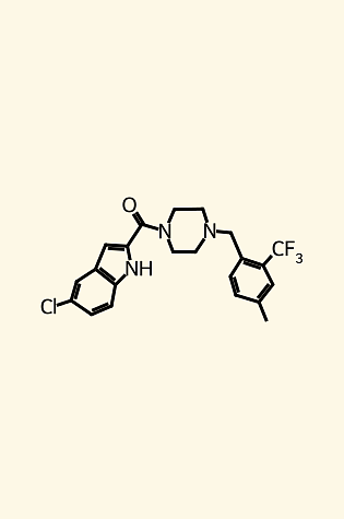 Cc1ccc(CN2CCN(C(=O)c3cc4cc(Cl)ccc4[nH]3)CC2)c(C(F)(F)F)c1